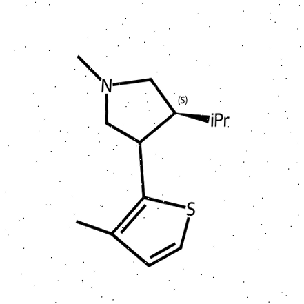 Cc1ccsc1C1CN(C)C[C@H]1C(C)C